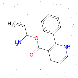 C=CC(N)OC(=O)C1=C(c2ccccc2)NC=CC1